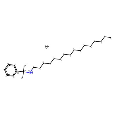 CCCCCCCCCCCCCCCCNC(C)(C)c1ccccc1.[HH]